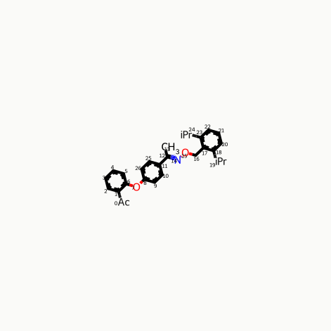 CC(=O)c1ccccc1Oc1ccc(/C(C)=N/OCc2c(C(C)C)cccc2C(C)C)cc1